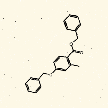 Cc1cc(OCc2ccccc2)ccc1C(=O)OCc1ccccc1